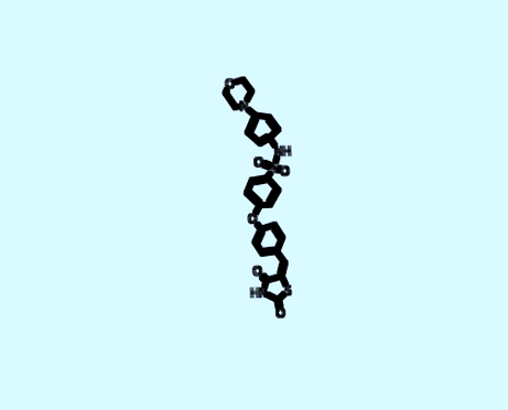 O=C1NC(=O)/C(=C\c2ccc(Oc3ccc(S(=O)(=O)Nc4ccc(N5CCOCC5)cc4)cc3)cc2)S1